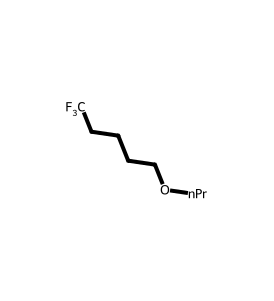 CCCOCCCCC(F)(F)F